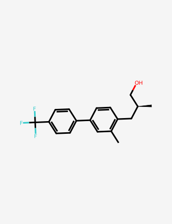 Cc1cc(-c2ccc(C(F)(F)F)cc2)ccc1C[C@H](C)CO